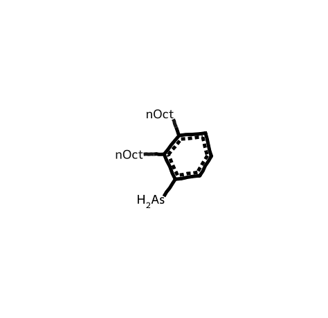 CCCCCCCCc1cccc([AsH2])c1CCCCCCCC